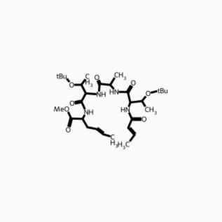 C/C=C/CC(NC(=O)C(NC(=O)C(C)NC(=O)C(NC(=O)/C=C/C)C(C)OC(C)(C)C)C(C)OC(C)(C)C)C(=O)OC